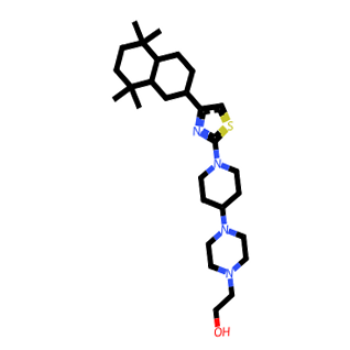 CC1(C)CCC(C)(C)C2CC(c3csc(N4CCC(N5CCN(CCO)CC5)CC4)n3)CCC21